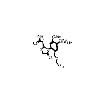 COc1cc(COCC(F)(F)F)c(N2C(=O)CSC2=NC(N)=O)cc1OC